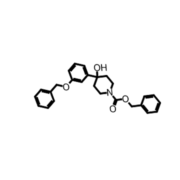 O=C(OCc1ccccc1)N1CCC(O)(c2cccc(OCc3ccccc3)c2)CC1